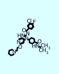 CC(C)NC(=O)C1CCC(n2/c(=N/C(=O)c3ccc(F)c(Cl)c3)[nH]c3cnc(OCCN4CCCCC4)cc32)CC1